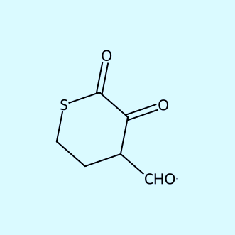 O=[C]C1CCSC(=O)C1=O